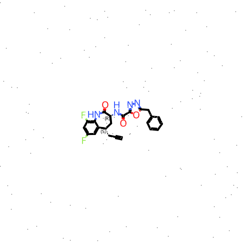 C#CC[C@H]1C[C@@H](NC(=O)c2nnc(Cc3ccccc3)o2)C(=O)Nc2c(F)cc(F)cc21